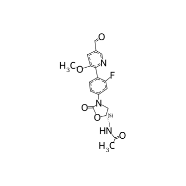 COc1cc(C=O)cnc1-c1ccc(N2C[C@H](CNC(C)=O)OC2=O)cc1F